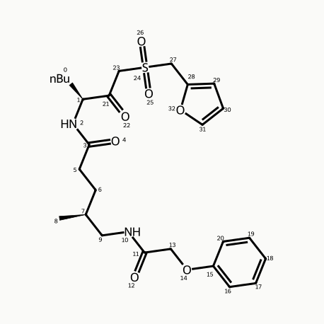 CCCC[C@H](NC(=O)CC[C@H](C)CNC(=O)COc1ccccc1)C(=O)CS(=O)(=O)Cc1ccco1